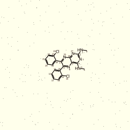 CNc1nc(NC)c2nc(-c3ccccc3Cl)c(-c3ccccc3Cl)nc2n1